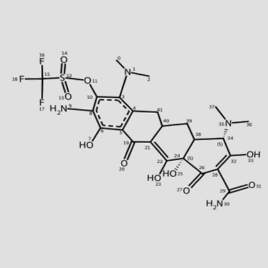 CN(C)c1c2c(c(O)c(N)c1OS(=O)(=O)C(F)(F)F)C(=O)C1=C(O)[C@]3(O)C(=O)C(C(N)=O)=C(O)[C@@H](N(C)C)C3CC1C2